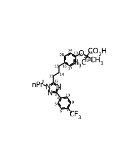 CCCn1nc(-c2ccc(C(F)(F)F)cc2)nc1CCCc1ccc(OC(C)(C)C(=O)O)cc1